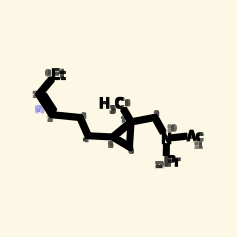 CC/C=C\CCC1CC1(C)CN(C(C)=O)C(C)C